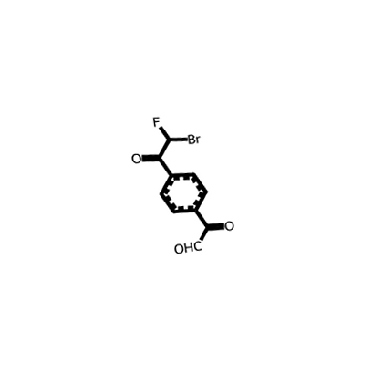 O=CC(=O)c1ccc(C(=O)C(F)Br)cc1